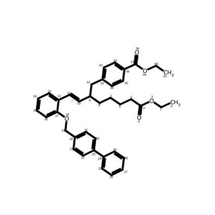 CCOC(=O)CCCCC(/C=C/c1ccccc1OCc1ccc(-c2ccccc2)cc1)Cc1ccc(C(=O)OCC)cc1